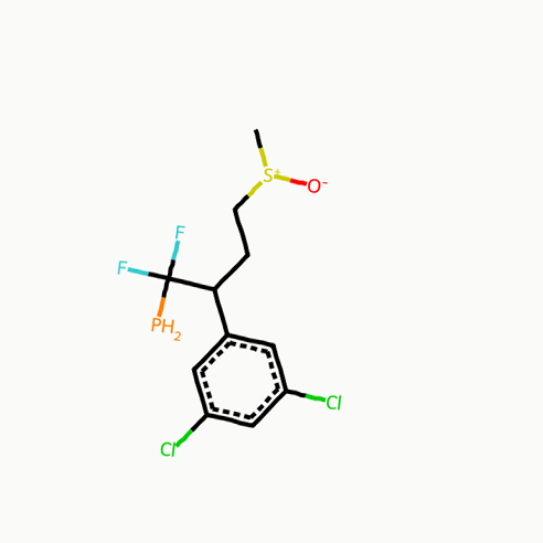 C[S+]([O-])CCC(c1cc(Cl)cc(Cl)c1)C(F)(F)P